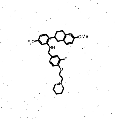 COc1ccc2c(c1)CCC(c1ccc(C(F)(F)F)cc1NCc1ccc(OCCN3CCCCC3)c(F)c1)C2